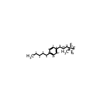 CCCCCc1ccc(CCCP(C)(F)(F)F)cc1